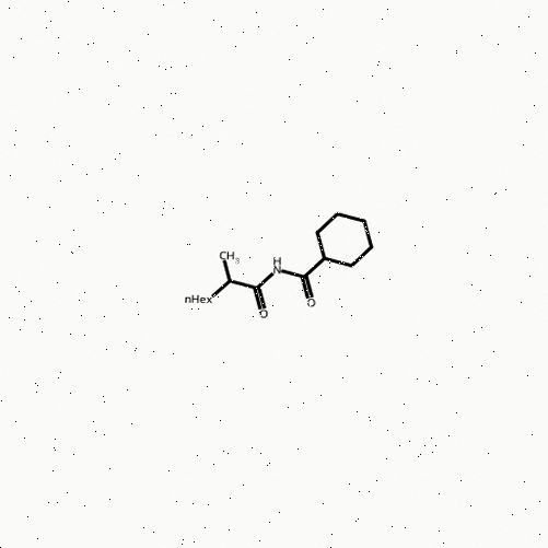 CCCCCCC(C)C(=O)NC(=O)C1CCCCC1